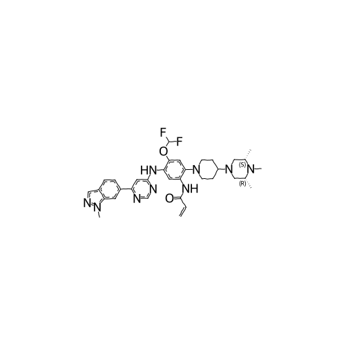 C=CC(=O)Nc1cc(Nc2cc(-c3ccc4cnn(C)c4c3)ncn2)c(OC(F)F)cc1N1CCC(N2C[C@@H](C)N(C)[C@@H](C)C2)CC1